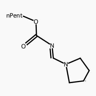 CCCCCOC(=O)/N=C/N1C[CH]CC1